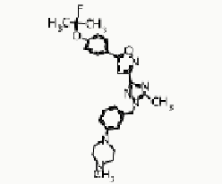 Cc1nc(-c2cc(-c3ccc(OC(C)(C)F)cc3)on2)nn1Cc1cccc(N2CCN(C)CC2)c1